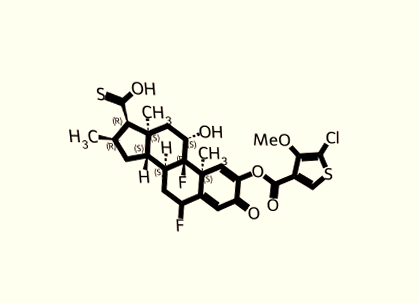 COc1c(C(=O)OC2=C[C@@]3(C)C(=CC2=O)C(F)C[C@H]2[C@@H]4C[C@@H](C)[C@@H](C(O)=S)[C@@]4(C)C[C@H](O)[C@@]23F)csc1Cl